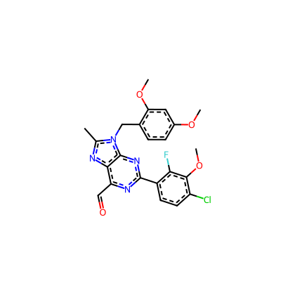 COc1ccc(Cn2c(C)nc3c(C=O)nc(-c4ccc(Cl)c(OC)c4F)nc32)c(OC)c1